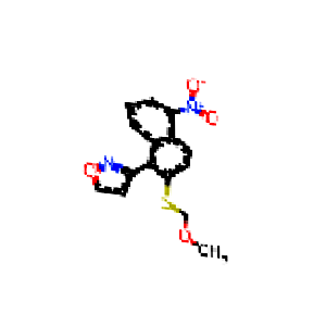 COCSc1ccc2c([N+](=O)[O-])cccc2c1-c1ccon1